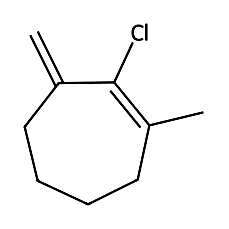 C=C1CCCCC(C)=C1Cl